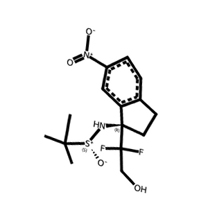 CC(C)(C)[S@@+]([O-])N[C@]1(C(F)(F)CO)CCc2ccc([N+](=O)[O-])cc21